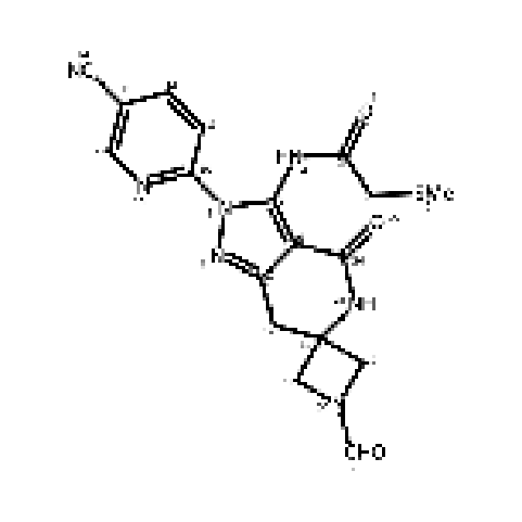 CSCC(=O)Nc1c2c(nn1-c1ccc(C#N)cn1)CC1(CN(C=O)C1)NC2=O